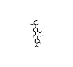 C=C(NCc1ccc(C(C)C)c(F)c1)C1=CC(c2cnccc2CC)CC=C1CCC